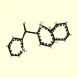 CC(c1ccccn1)c1ccc2ccccc2n1